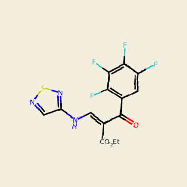 CCOC(=O)C(=CNc1cnsn1)C(=O)c1cc(F)c(F)c(F)c1F